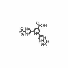 CS(=O)(=O)c1ncc(-c2cc(C(=O)O)cc(-c3cnc(S(C)(=O)=O)nc3)n2)cn1